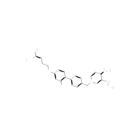 CNc1cn(Cc2ccc(-c3ccc(OCCC=C(C)C)cc3C)cc2)ccc1=N